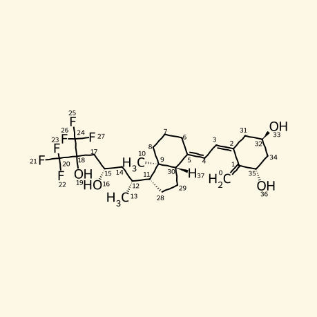 C=C1/C(=C\C=C2/CCC[C@]3(C)[C@@H]([C@H](C)C[C@H](O)CC(O)(C(F)(F)F)C(F)(F)F)CC[C@@H]23)C[C@@H](O)C[C@@H]1O